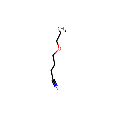 CCCOCCCC#N